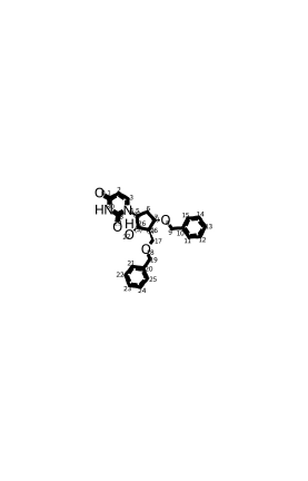 O=c1ccn([C@H]2C[C@H](OCc3ccccc3)[C@@H](COCc3ccccc3)[C@@H]2O)c(=O)[nH]1